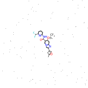 C[C@H](Oc1cc2nc(C34COC(C)(C3)C4)cn2cc1C(=O)Nc1cccc(C(F)F)n1)C(F)(F)F